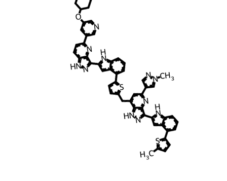 Cc1ccc(-c2cccc3[nH]c(-c4n[nH]c5c(Cc6ccc(-c7cccc8[nH]c(-c9n[nH]c%10ccc(-c%11cncc(OC%12CCCCC%12)c%11)nc9%10)cc78)s6)cc(-c6cnn(C)c6)nc45)cc23)s1